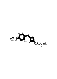 CCOC(=O)C1CC(Cc2ccc(C(C)(C)C)cc2)C1